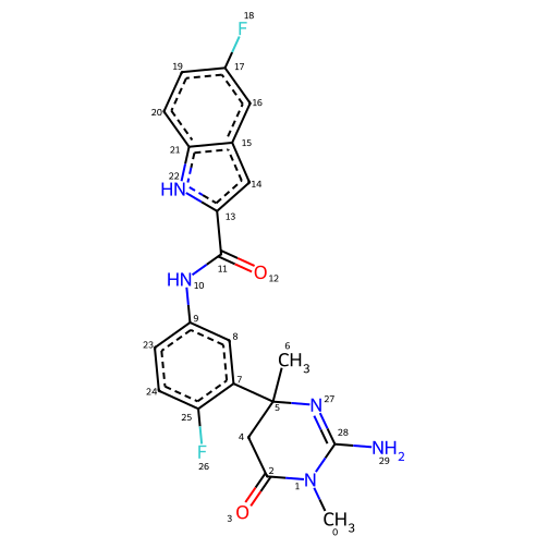 CN1C(=O)CC(C)(c2cc(NC(=O)c3cc4cc(F)ccc4[nH]3)ccc2F)N=C1N